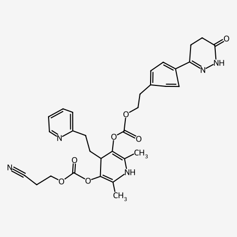 CC1=C(OC(=O)OCCC#N)C(CCc2ccccn2)C(OC(=O)OCCc2ccc(C3=NNC(=O)CC3)cc2)=C(C)N1